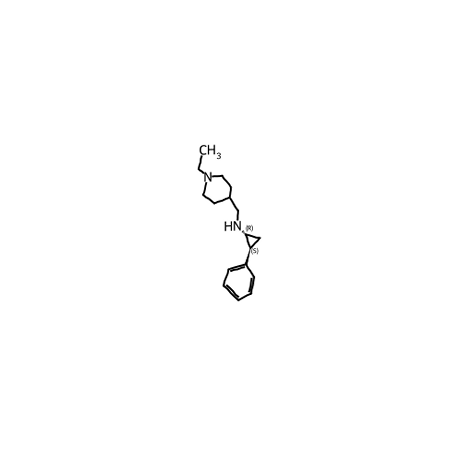 CCN1CCC(CN[C@@H]2C[C@H]2c2ccccc2)CC1